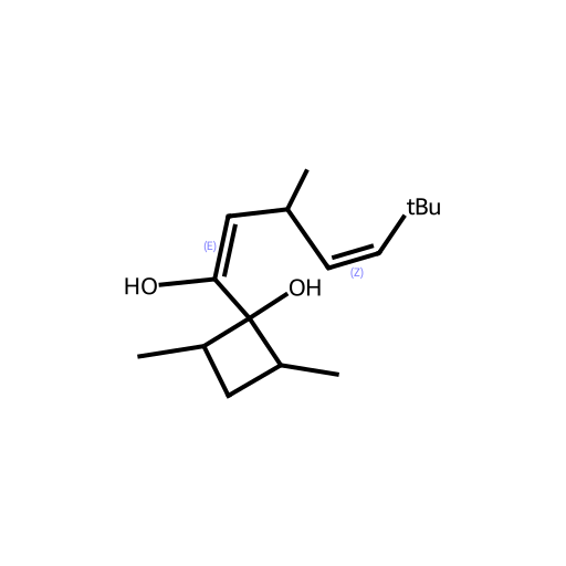 CC(/C=C\C(C)(C)C)/C=C(/O)C1(O)C(C)CC1C